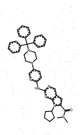 CN(C)C(=O)c1cc2cnc(Nc3ccc(N4CCN(C(c5ccccc5)(c5ccccc5)c5ccccc5)CC4)cn3)nc2n1C1CCCC1